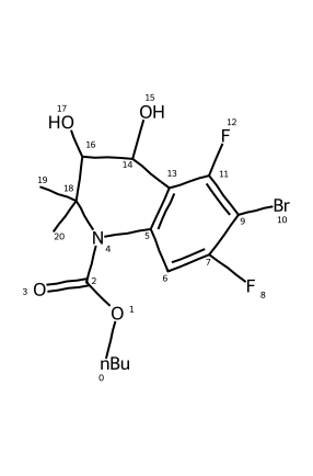 CCCCOC(=O)N1c2cc(F)c(Br)c(F)c2C(O)C(O)C1(C)C